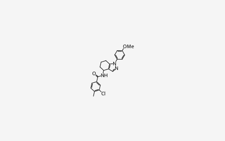 COc1ccc(-n2ncc3c2CCCC3NC(=O)c2ccc(C)c(Cl)c2)cc1